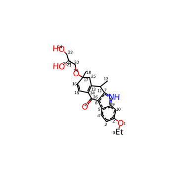 CCOc1ccc2c3c([nH]c2c1)C(C)C1=C(C=CC(C)(OC[C@H](O)CO)C1)C3=O